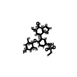 CCS(=O)(=O)Nc1ccc(Oc2c(C)cc(F)cc2C)c(-c2cn(C)c(=O)c3ccsc23)c1